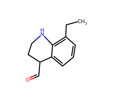 CCc1cccc2c1NCCC2C=O